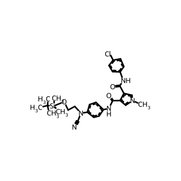 Cn1cc(C(=O)Nc2ccc(Cl)cc2)c(C(=O)Nc2ccc(N(C#N)CCO[Si](C)(C)C(C)(C)C)cc2)c1